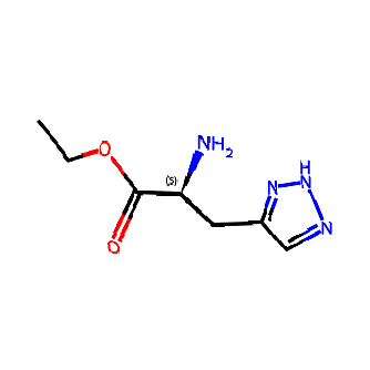 CCOC(=O)[C@@H](N)Cc1cn[nH]n1